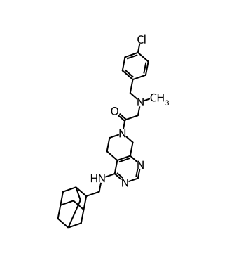 CN(CC(=O)N1CCc2c(ncnc2NCC2C3CC4CC(C3)CC2C4)C1)Cc1ccc(Cl)cc1